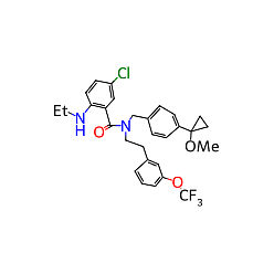 CCNc1ccc(Cl)cc1C(=O)N(CCc1cccc(OC(F)(F)F)c1)Cc1ccc(C2(OC)CC2)cc1